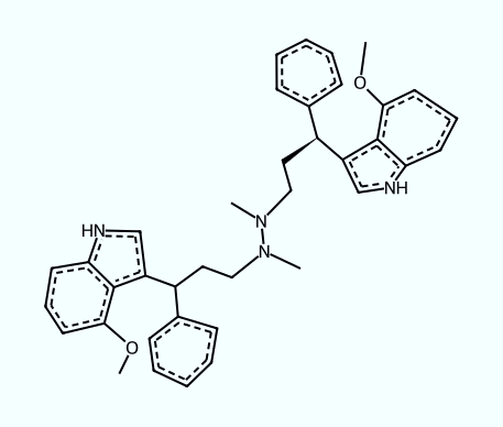 COc1cccc2[nH]cc(C(CCN(C)N(C)CC[C@@H](c3ccccc3)c3c[nH]c4cccc(OC)c34)c3ccccc3)c12